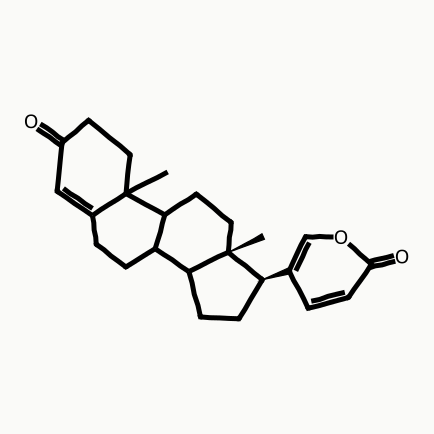 CC12CCC(=O)C=C1CCC1C2CC[C@@]2(C)C1CC[C@@H]2c1ccc(=O)oc1